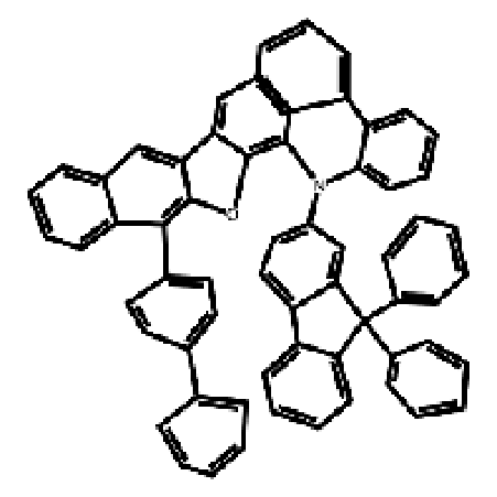 c1ccc(-c2ccc(-c3c4ccccc4cc4c3oc3c(N(c5ccc6c(c5)C(c5ccccc5)(c5ccccc5)c5ccccc5-6)c5ccccc5-c5ccccc5)cccc34)cc2)cc1